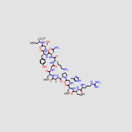 C[C@H](NC(=O)[C@@H]1CCCN1C(=O)[C@H](Cc1c[nH]cn1)NC(=O)[C@H](C[SeH])NC(=O)[C@H](C[SeH])NC(=O)[C@@H](N)CCCNC(=N)N)C(=O)N[C@@H](C[SeH])C(=O)NCC(=O)N[C@@H](CCCCN)C(=O)N[C@@H](CC(N)=O)C(=O)N[C@@H](Cc1ccc(O)cc1)C(=O)N[C@@H](CO)C(=O)N[C@@H](C[SeH])C(=O)O